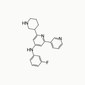 Fc1cccc(Nc2cc(-c3cccnc3)nc(C3CCCNC3)c2)c1